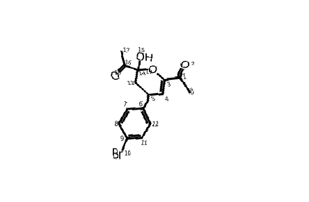 CC(=O)C1=CC(c2ccc(Br)cc2)CC(O)(C(C)=O)O1